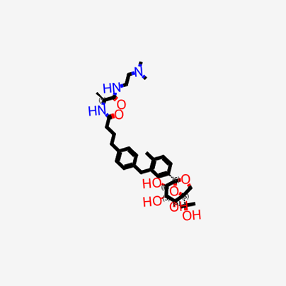 Cc1ccc([C@]23OC[C@](C(C)(C)O)(O2)[C@@H](O)[C@H](O)[C@H]3O)cc1Cc1ccc(CCCC(=O)N[C@@H](C)C(=O)NCCN(C)C)cc1